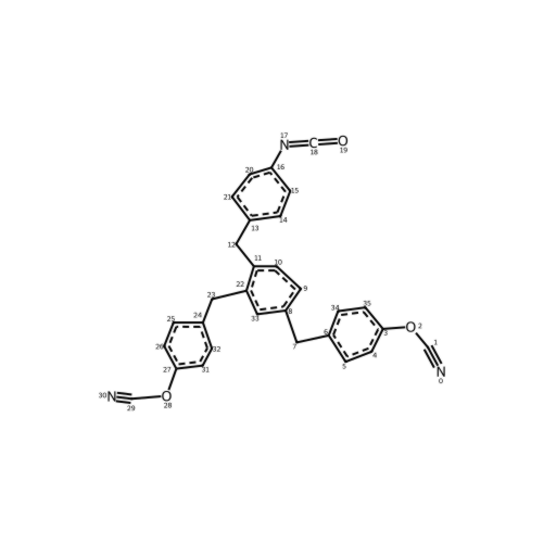 N#COc1ccc(Cc2ccc(Cc3ccc(N=C=O)cc3)c(Cc3ccc(OC#N)cc3)c2)cc1